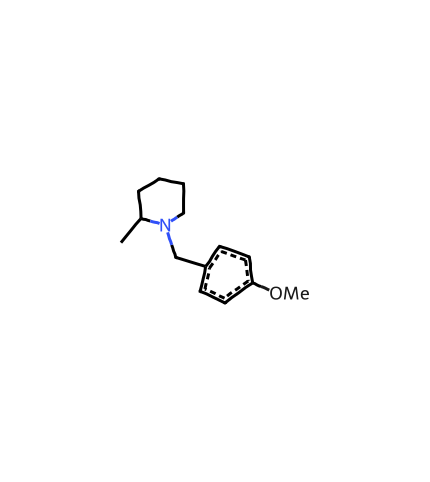 COc1ccc(CN2CCCCC2C)cc1